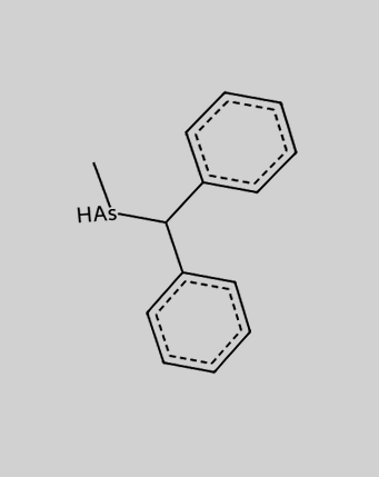 C[AsH]C(c1ccccc1)c1ccccc1